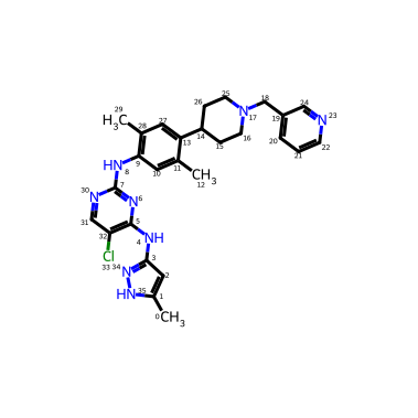 Cc1cc(Nc2nc(Nc3cc(C)c(C4CCN(Cc5cccnc5)CC4)cc3C)ncc2Cl)n[nH]1